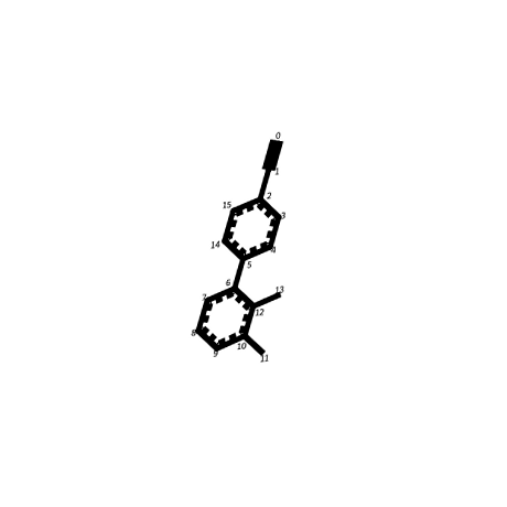 C#Cc1ccc(-c2cccc(C)c2C)cc1